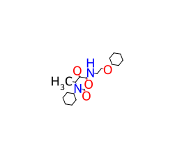 CC(C(=O)C(=O)NCCOC1CCCCC1)N(C=O)C1CCCCC1